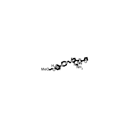 C=C(/C=C\C(=C/C)N1CCN(CCn2ncc3c2nc(N)n2nc(-c4ccco4)nc32)CC1)OCCOC